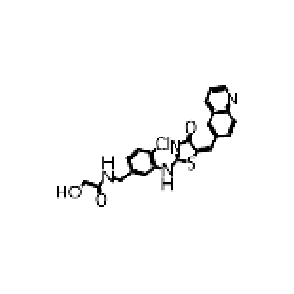 O=C(CO)NCc1ccc(Cl)c(NC2=NC(=O)C(=Cc3ccc4ncccc4c3)S2)c1